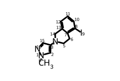 Cn1cc(N2CCc3c(I)cccc3C2)cn1